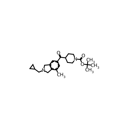 Cc1cc(C(=O)C2CCN(C(=O)OC(C)(C)C)CC2)cc2c1CN(CC1CC1)C2